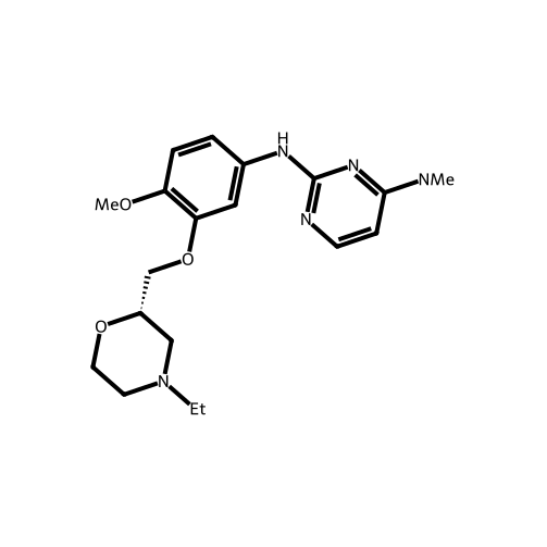 CCN1CCO[C@H](COc2cc(Nc3nccc(NC)n3)ccc2OC)C1